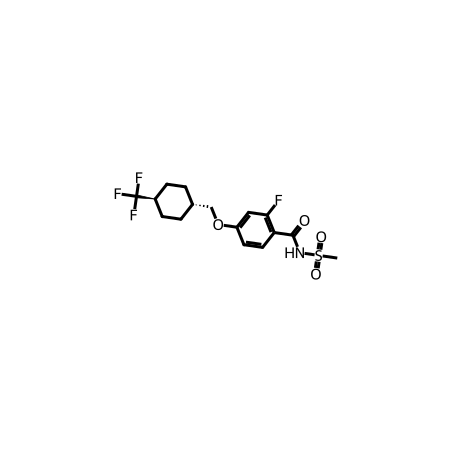 CS(=O)(=O)NC(=O)c1ccc(OC[C@H]2CC[C@H](C(F)(F)F)CC2)cc1F